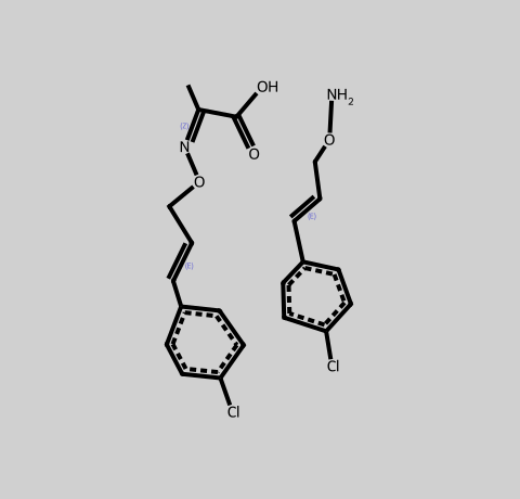 C/C(=N/OC/C=C/c1ccc(Cl)cc1)C(=O)O.NOC/C=C/c1ccc(Cl)cc1